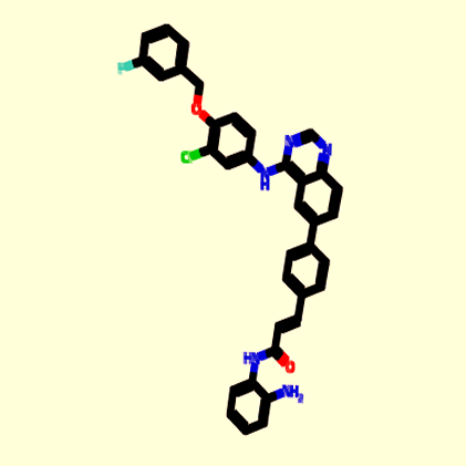 Nc1ccccc1NC(=O)C=Cc1ccc(-c2ccc3ncnc(Nc4ccc(OCc5cccc(F)c5)c(Cl)c4)c3c2)cc1